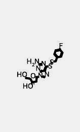 Nc1nc(SSCc2ccc(F)cc2)c2ncn(C3C[C@H](O)C(CO)O3)c2n1